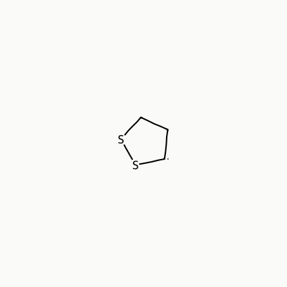 [CH]1CCSS1